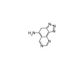 NC1=c2cncnc2=C2N=NN=C2C1